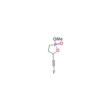 COP1(=O)CCC(C#CF)O1